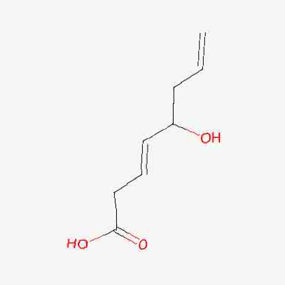 C=CCC(O)C=CCC(=O)O